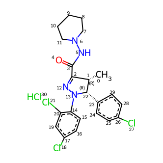 C[C@H]1C(C(=O)NN2CCCCC2)=NN(c2ccc(Cl)cc2Cl)[C@H]1c1ccc(Cl)cc1.Cl